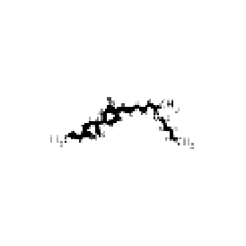 C=CCc1ccc(-c2ccc(/C=C/CCCC(C)OCCCCC)c(F)c2)cn1